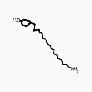 NCCCCCCCCCCCCCCCCCCc1ccc(O)cc1